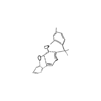 Cc1ccc2c(c1)Oc1c(ccc3c1oc1ccccc13)C2(C)C